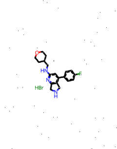 Br.Fc1ccc(-c2cc(NCC3CCOCC3)nc3c2CNC3)cc1